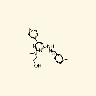 Cc1cccc(/C=N/Nc2cc(-c3ccncc3)nc(N(C)CCO)n2)c1